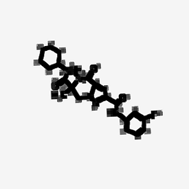 CN1C(=O)c2cc(C(=O)Nc3cccc(F)c3)nn2CC1(C)C(=O)NC1CCCCC1